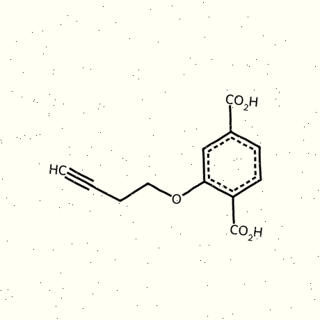 C#CCCOc1cc(C(=O)O)ccc1C(=O)O